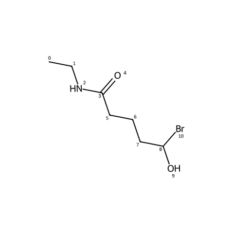 CCNC(=O)CCCC(O)Br